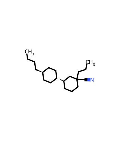 CCCC[C@H]1CC[C@H](C2CCCC(C#N)(CCC)C2)CC1